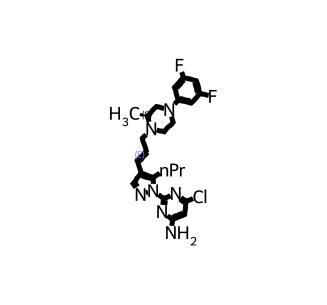 CCCc1c(/C=C/CN2CCN(c3cc(F)cc(F)c3)C[C@@H]2C)cnn1-c1nc(N)cc(Cl)n1